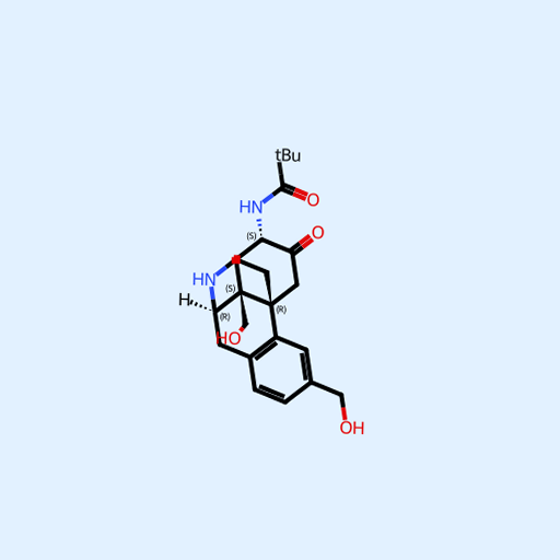 CC(C)(C)C(=O)N[C@H]1C[C@@]2(CO)[C@H]3Cc4ccc(CO)cc4[C@@]2(CCN3)CC1=O